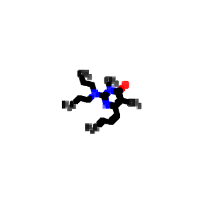 C=C/C=C\c1nc(N(CCC)CCC)n(C)c(=O)c1C